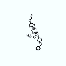 C[C@H](CNc1ncc(OCCF)cn1)NC(=O)OC1CCN(Cc2ccccc2)CC1